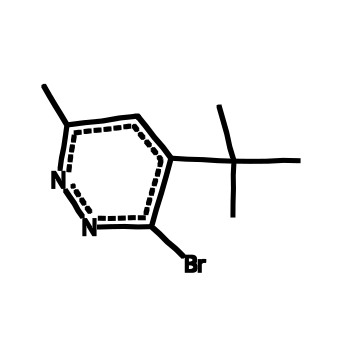 Cc1cc(C(C)(C)C)c(Br)nn1